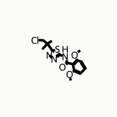 COc1cccc(OC)c1C(=O)Nc1nnc(C(C)(C)CCl)s1